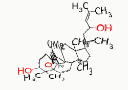 CO[C@@H]1OC23C=CC4C1(CCC1(C)C([C@H](C)CC(O)C=C(C)C)CC[C@@]41C)[C@@H]2CCC(O)C3(C)C